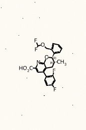 C[C@@H]1Cc2c(-c3ccc(F)cc3F)cc(C(=O)O)nc2O[C@H]1c1ccccc1COC(F)F